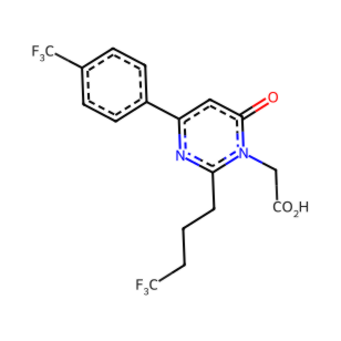 O=C(O)Cn1c(CCCC(F)(F)F)nc(-c2ccc(C(F)(F)F)cc2)cc1=O